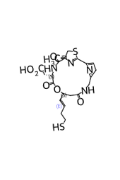 C[C@@]12CSC(=N1)C1=CCC(=N1)CNC(=O)C[C@@H](/C=C/CCS)OC(=O)[C@H](CC(=O)O)NC2=O